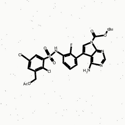 CC(=O)OCc1cc(Cl)cc(S(=O)(=O)Nc2cccc(-c3cn(C(=O)OC(C)(C)C)c4ncnc(N)c34)c2F)c1Cl